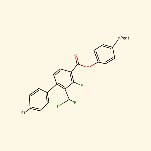 CCCCCc1ccc(OC(=O)c2ccc(-c3ccc(CC)cc3)c(C(F)F)c2F)cc1